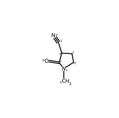 CN1[CH]CC(C#N)C1=O